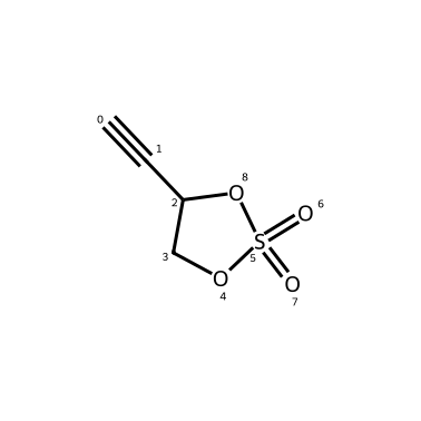 C#CC1COS(=O)(=O)O1